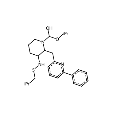 CC(C)CSNC1CCCN(C(O)OC(C)C)C1Cc1cccc(-c2ccccc2)n1